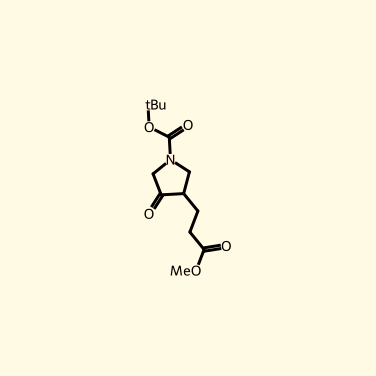 COC(=O)CCC1CN(C(=O)OC(C)(C)C)CC1=O